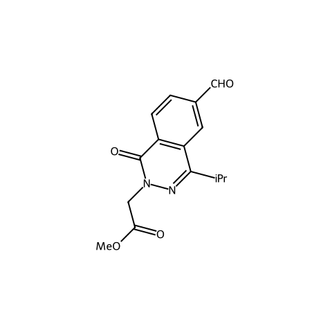 COC(=O)Cn1nc(C(C)C)c2cc(C=O)ccc2c1=O